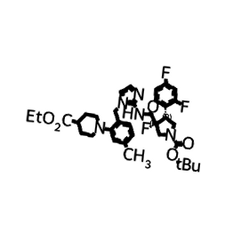 CCOC(=O)C1CCN(c2cc(C)ccc2Cn2ccnc2NC(=O)[C@]2(F)CN(C(=O)OC(C)(C)C)C[C@H]2c2ccc(F)cc2F)CC1